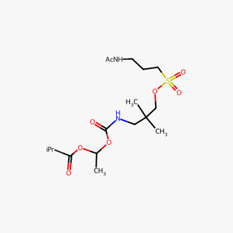 CC(=O)NCCCS(=O)(=O)OCC(C)(C)CNC(=O)OC(C)OC(=O)C(C)C